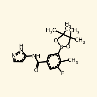 Cc1c(F)cc(C(=O)Nc2ccn[nH]2)cc1B1OC(C)(C)C(C)(C)O1